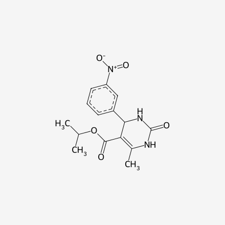 CC1=C(C(=O)OC(C)C)C(c2cccc([N+](=O)[O-])c2)NC(=O)N1